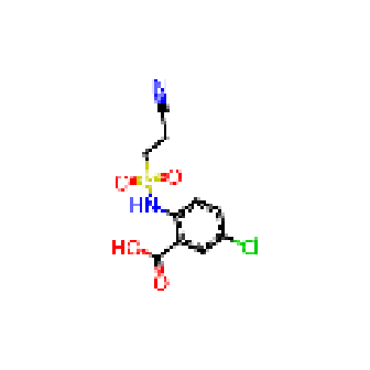 N#CCCS(=O)(=O)Nc1ccc(Cl)cc1C(=O)O